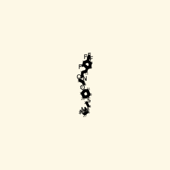 Fc1cc(C(F)(F)F)ccc1C=Cc1nc(COc2ccc(SCCn3ccnn3)cc2)co1